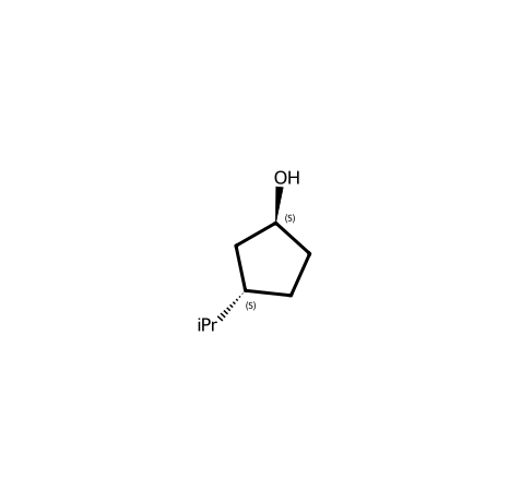 CC(C)[C@H]1CC[C@H](O)C1